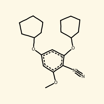 COc1cc(OC2CCCCC2)cc(OC2CCCCC2)c1[N+]#N